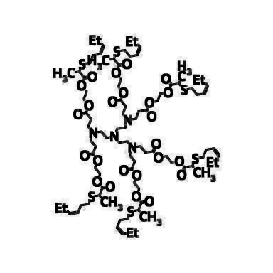 CC/C=C\CCSC(C)C(=O)OCCOC(=O)CCN(CCC(=O)OCCOC(=O)C(C)SCC/C=C\CC)CCN(CCN(CCC(=O)OCCOC(=O)C(C)SCC/C=C\CC)CCC(=O)OCCOC(=O)C(C)SCC/C=C\CC)CCN(CCC(=O)OCCOC(=O)C(C)SCC/C=C\CC)CCC(=O)OCCOC(=O)C(C)SCC/C=C\CC